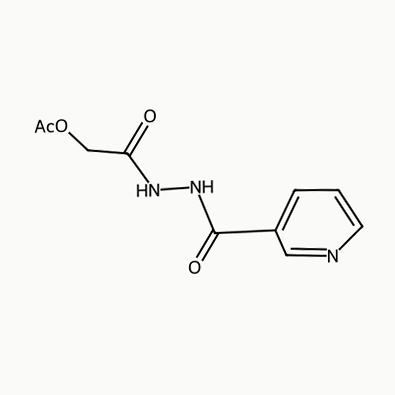 CC(=O)OCC(=O)NNC(=O)c1cccnc1